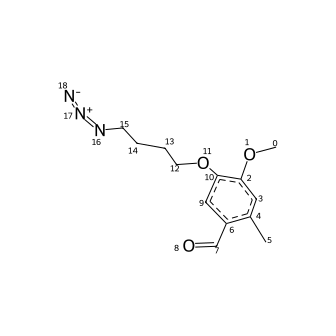 COc1cc(C)c(C=O)cc1OCCCCN=[N+]=[N-]